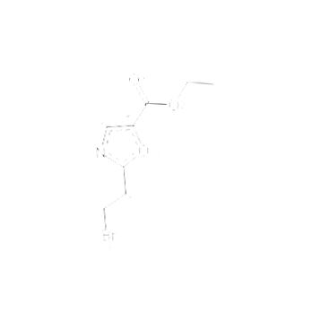 CCOC(=O)c1cnc(CCBr)o1